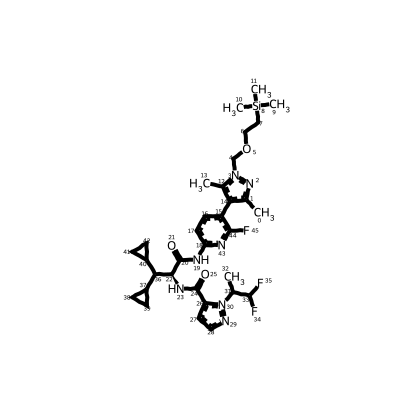 Cc1nn(COCC[Si](C)(C)C)c(C)c1-c1ccc(NC(=O)[C@@H](NC(=O)c2ccnn2C(C)C(F)F)C(C2CC2)C2CC2)nc1F